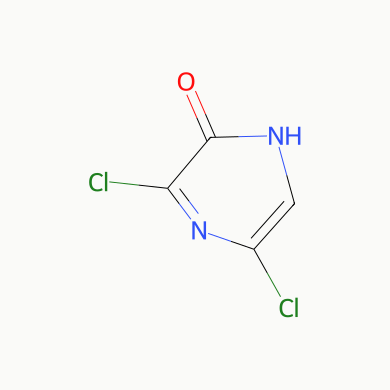 O=c1[nH]cc(Cl)nc1Cl